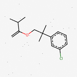 C=C(OCC(C)(C)c1cccc(Cl)c1)C(C)C